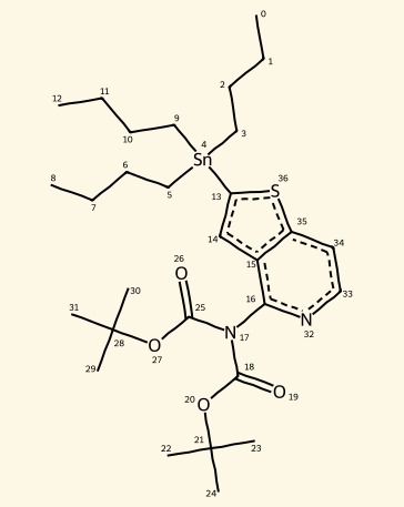 CCC[CH2][Sn]([CH2]CCC)([CH2]CCC)[c]1cc2c(N(C(=O)OC(C)(C)C)C(=O)OC(C)(C)C)nccc2s1